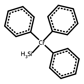 [SiH3][Cr]([c]1ccccc1)([c]1ccccc1)[c]1ccccc1